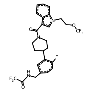 O=C(c1cn(CCOC(F)(F)F)c2ccccc12)N1CCC(c2cc(CNC(=O)C(F)(F)F)ccc2F)CC1